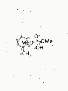 COP(=O)(O)OC.Cc1ccccc1